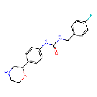 O=C(NCc1ccc(F)cc1)Nc1ccc(C2CNCCO2)cc1